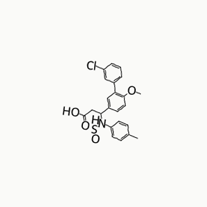 COc1ccc(C(CC(=O)O)N([SH]=O)c2ccc(C)cc2)cc1-c1cccc(Cl)c1